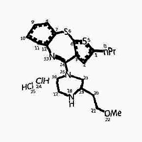 CCCc1cc2c(s1)Sc1ccccc1N=C2N1CCNC(CCOC)C1.Cl.Cl